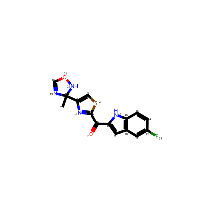 CC1(c2csc(C(=O)c3cc4cc(F)ccc4[nH]3)n2)N=CON1